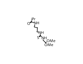 COC(CNC(=S)NCCCNC(=O)C(C)C)OC